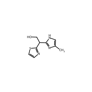 Cc1c[nH]c(C(CO)c2nccs2)n1